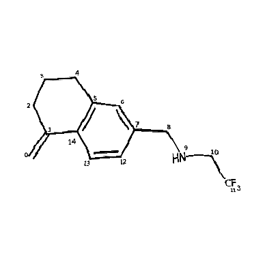 C=C1CCCc2cc(CNCC(F)(F)F)ccc21